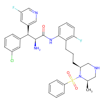 C[C@@H]1CNC[C@H](CCCc2c(F)cccc2NC(=O)[C@@H](N)[C@H](c2cncc(F)c2)c2cccc(Cl)c2)N1S(=O)(=O)c1ccccc1